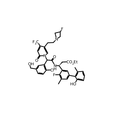 CCOC(=O)C[C@H](NC(=O)C(c1cc(CO)ccc1Cl)n1cc(CCN2CC(F)C2)c(C(F)(F)F)cc1=O)c1cc(-c2c(C)cccc2O)cc(C)c1F